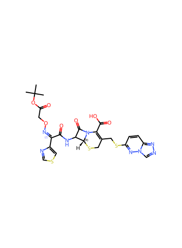 CC(C)(C)OC(=O)CO/N=C(\C(=O)NC1C(=O)N2C(C(=O)O)=C(CSc3ccc4nncn4n3)CS[C@H]12)c1cscn1